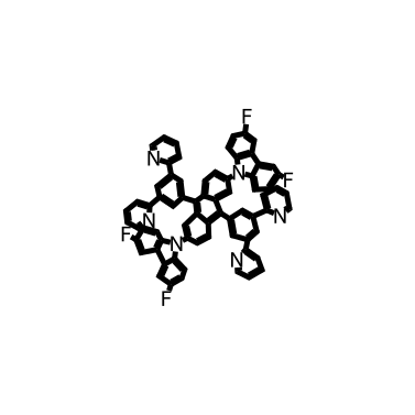 Fc1ccc2c(c1)c1cc(F)ccc1n2-c1ccc2c(-c3cc(-c4ccccn4)cc(-c4ccccn4)c3)c3cc(-n4c5ccc(F)cc5c5cc(F)ccc54)ccc3c(-c3cc(-c4ccccn4)cc(-c4ccccn4)c3)c2c1